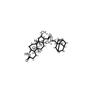 CC1C[C@H]2[C@@H]3CCC4NC(=O)CC[C@]4(C)[C@@H]3CC[C@]2(C)C1C(=O)NCC12CC3CC(CC(C3)C1)C2